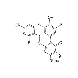 O=c1c2scnc2nc(SCc2ccc(Cl)cc2F)n1-c1cc(F)c(O)c(F)c1